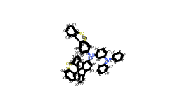 c1ccc(N(c2ccccc2)c2cccc(N(c3ccc4c(c3)C3(c5ccccc5Sc5ccccc53)c3ccccc3-4)c3ccc4c(c3)sc3ccccc34)c2)cc1